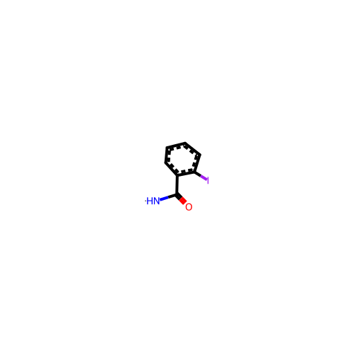 [NH]C(=O)c1ccccc1I